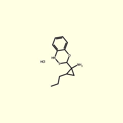 CCCC1CC1(N)C1Oc2ccccc2NS1.Cl